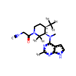 [2H]c1nc(N(C)[C@@H]2[C@H](C([2H])([2H])[2H])CCN(C(=O)C[N+]#[C-])C2([2H])[2H])c2cc[nH]c2n1